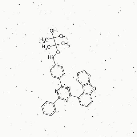 CC(C)(O)C(C)(C)OBc1ccc(-c2nc(-c3ccccc3)nc(-c3cccc4oc5ccccc5c34)n2)cc1